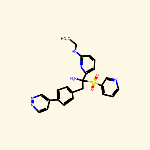 NC(Cc1ccc(-c2ccnnc2)cc1)(c1cccc(NCC(=O)O)n1)S(=O)(=O)c1cccnc1